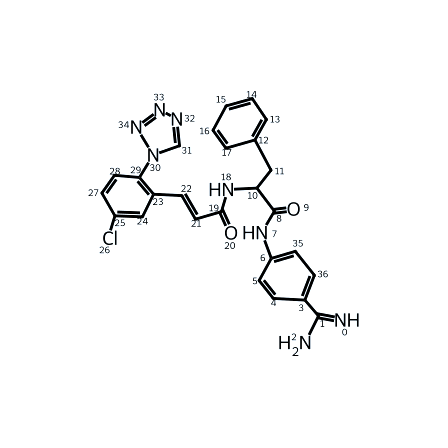 N=C(N)c1ccc(NC(=O)C(Cc2ccccc2)NC(=O)/C=C/c2cc(Cl)ccc2-n2cnnn2)cc1